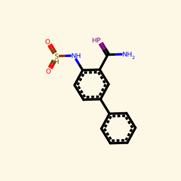 NC(=P)c1cc(-c2ccccc2)ccc1N[SH](=O)=O